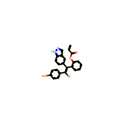 C=CC(=O)Oc1ccccc1/C(=C(\CC)c1ccc(O)cc1)c1ccc2[nH]ncc2c1